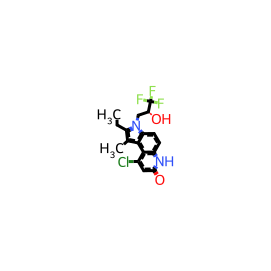 CCc1c(C)c2c3c(Cl)cc(=O)[nH]c3ccc2n1C[C@@H](O)C(F)(F)F